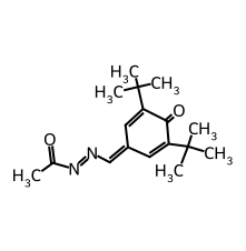 CC(=O)/N=N/C=C1C=C(C(C)(C)C)C(=O)C(C(C)(C)C)=C1